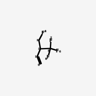 C=CC(CF)C(F)(F)F